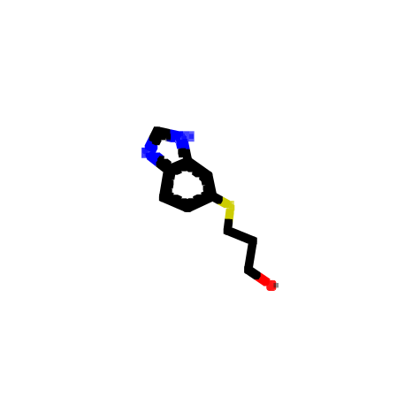 [O]CCCSc1ccc2nc[nH]c2c1